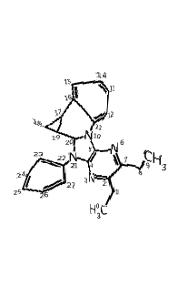 CCc1nc2c(nc1CC)N1c3ccccc3C3CC3C1N2c1ccccc1